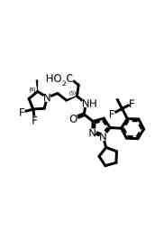 C[C@@H]1CC(F)(F)CN1CC[C@@H](CC(=O)O)NC(=O)c1cc(-c2ccccc2C(C)(F)F)n(C2CCCC2)n1